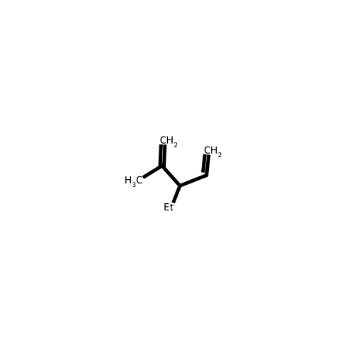 C=CC(CC)C(=C)C